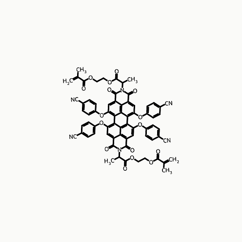 C=C(C)C(=O)OCCOC(=O)C(C)N1C(=O)c2cc(Oc3ccc(C#N)cc3)c3c4c(Oc5ccc(C#N)cc5)cc5c6c(cc(Oc7ccc(C#N)cc7)c(c7c(Oc8ccc(C#N)cc8)cc(c2c37)C1=O)c64)C(=O)N(C(C)C(=O)OCCOC(=O)C(=C)C)C5=O